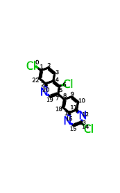 Clc1ccc2c(Cl)c(-c3ccc4nc(Cl)cnc4c3)cnc2c1